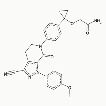 COc1ccc(-n2nc(C#N)c3c2C(=O)N(c2ccc(C4(OCC(N)=O)CC4)cc2)CC3)cc1